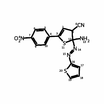 N#CC1C=C(c2ccc([N+](=O)[O-])cc2)SC1(N)N=Nc1cccs1